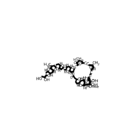 C=C1C[C@@H]2CC[C@]34O[C@H]([C@H]5CC[C@@H](O3)[C@H]3OC(CC[C@@H]3O5)CC(=O)O[C@@H]3C[C@@H]5O[C@@H]6C[C@@]7(C[C@@H]8O[C@@]9(CC[C@@H]8O7)C[C@H](C)[C@@H]7O[C@@H]8C[C@@H]([C@@H](O)CO)O[C@@H]8C[C@@H]7O9)O[C@@H]6C[C@@H]5OC3CC3OC(CCC1O2)C[C@@H](C)C3=C)C(O)(OC)[C@H]4O